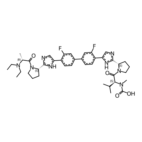 CCN(CC)[C@H](C)C(=O)N1CCC[C@H]1c1ncc(-c2ccc(-c3ccc(-c4cnc([C@@H]5CCCN5C(=O)[C@H](C(C)C)N(C)C(=O)O)[nH]4)c(F)c3)cc2F)[nH]1